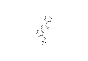 CC(C)(C)Oc1cccc(OC(=O)c2ccccc2)c1